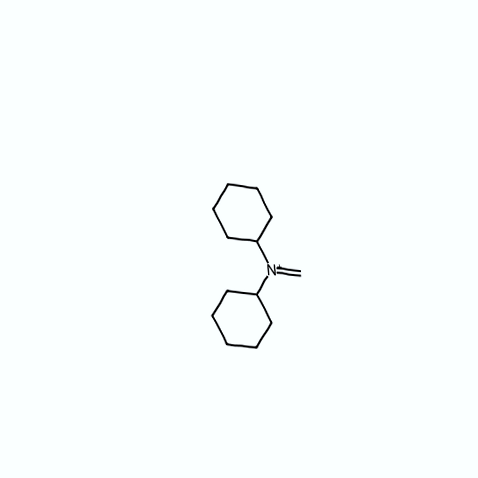 C=[N+](C1CCCCC1)C1CCCCC1